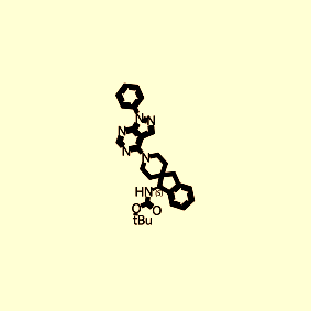 CC(C)(C)OC(=O)N[C@@H]1c2ccccc2CC12CCN(c1ncnc3c1cnn3-c1ccccc1)CC2